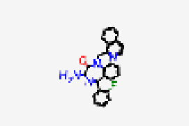 NC1N=C(c2ccccc2F)c2ccccc2N(Cc2nccc3ccccc23)C1=O